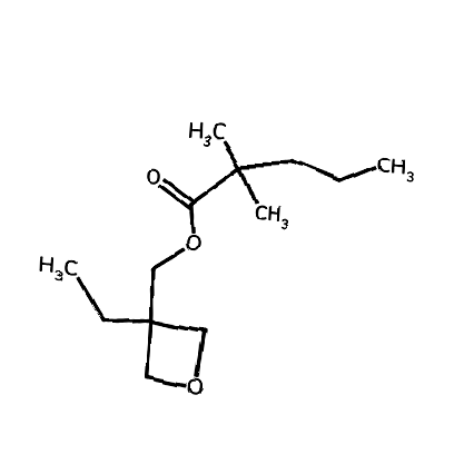 CCCC(C)(C)C(=O)OCC1(CC)COC1